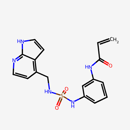 C=CC(=O)Nc1cccc(NS(=O)(=O)NCc2ccnc3[nH]ccc23)c1